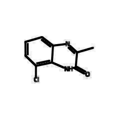 Cc1nc2cccc(Cl)c2[nH]c1=O